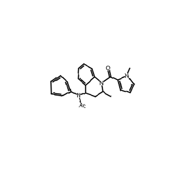 CC(=O)N(c1ccccc1)C1CC(C)N(C(=O)c2cccn2C)c2ccccc21